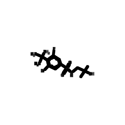 BC(B)(B)c1c(F)cc(S(=O)(=O)NCC(C)(C)O)cc1Br